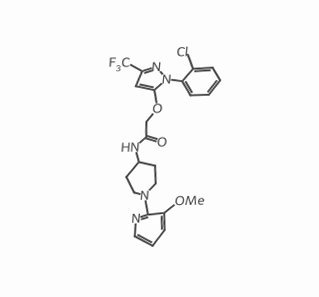 COc1cccnc1N1CCC(NC(=O)COc2cc(C(F)(F)F)nn2-c2ccccc2Cl)CC1